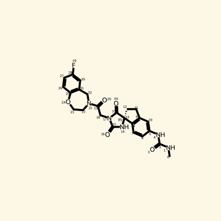 CNC(=O)Nc1ccc2c(c1)CC[C@@]21NC(=O)N(CC(=O)N2CCOc3ccc(F)cc3C2)C1=O